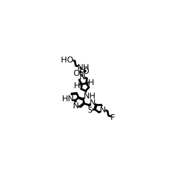 O=S(=O)(NCCO)N1C[C@H]2CC(Nc3c(-c4nc5c(s4)CN(CCF)C5)cnc4[nH]ccc34)C[C@H]2C1